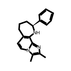 Cc1nc2c3c(ccn2c1C)CCC[C@@H](c1ccccc1)N3